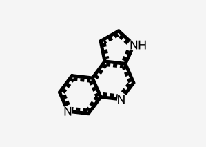 c1cc2c(cn1)ncc1[nH]ccc12